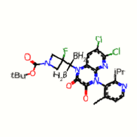 BC(B)(n1c(=O)c(=O)n(-c2c(C)ccnc2C(C)C)c2nc(Cl)c(Cl)cc21)C1(F)CN(C(=O)OC(C)(C)C)C1